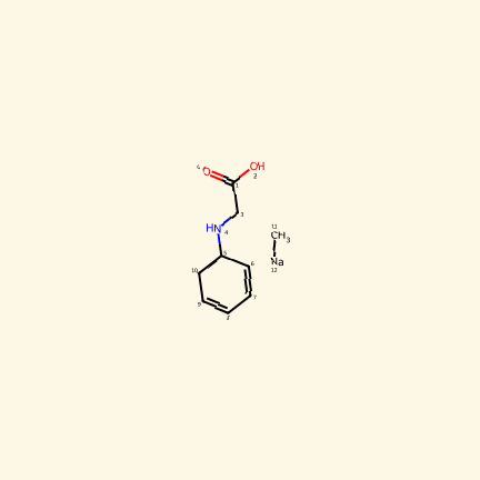 O=C(O)CNC1C=CC=CC1.[CH3][Na]